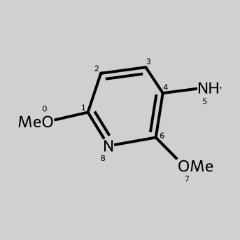 COc1ccc([NH])c(OC)n1